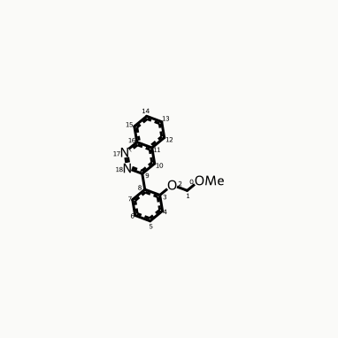 COCOc1ccccc1-c1cc2ccccc2nn1